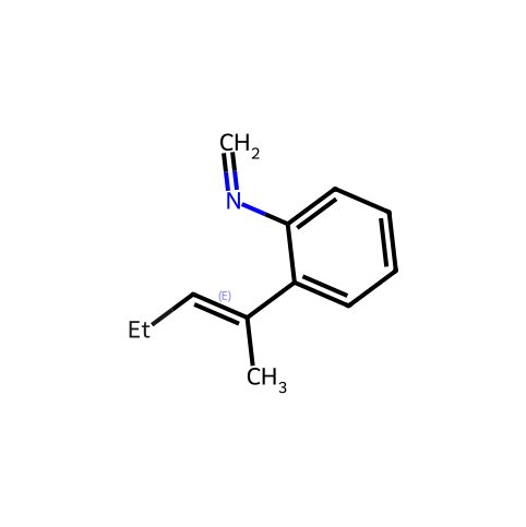 C=Nc1ccccc1/C(C)=C/CC